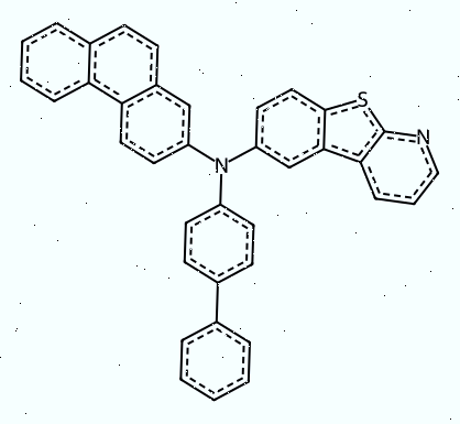 c1ccc(-c2ccc(N(c3ccc4c(ccc5ccccc54)c3)c3ccc4sc5ncccc5c4c3)cc2)cc1